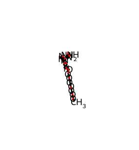 CCOCCOCCOCCOCCOCCOCCOCCC(=O)N1CCc2cc(Cn3nc(-c4cnc5[nH]ccc5c4)c4c(N)ncnc43)ccc2C1